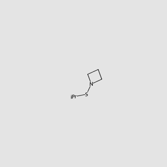 CC(C)SN1CCC1